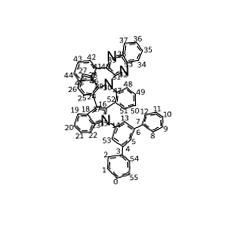 c1ccc(-c2cc(-c3ccccc3)cc(-n3c4c(c5ccccc53)-c3ccccc3N(c3nc5ccccc5nc3-c3ccccc3)c3ccccc3-4)c2)cc1